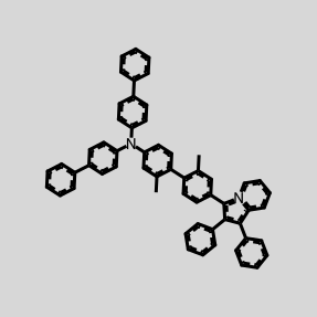 Cc1cc(-c2c(-c3ccccc3)c(-c3ccccc3)c3ccccn23)ccc1-c1ccc(N(c2ccc(-c3ccccc3)cc2)c2ccc(-c3ccccc3)cc2)cc1C